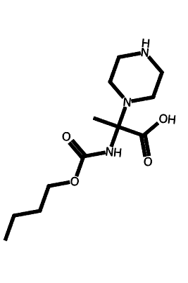 CCCCOC(=O)NC(C)(C(=O)O)N1CCNCC1